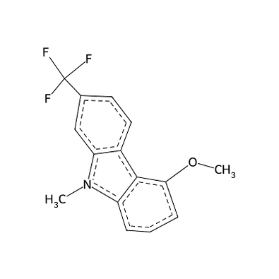 COc1cccc2c1c1ccc(C(F)(F)F)cc1n2C